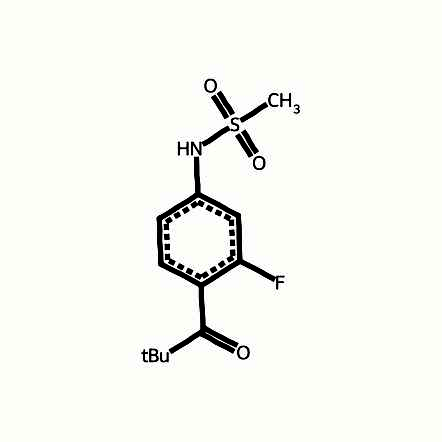 CC(C)(C)C(=O)c1ccc(NS(C)(=O)=O)cc1F